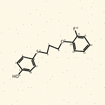 Oc1ccc(SCCCOc2ccccc2F)cc1